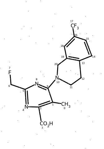 Cc1c(C(=O)O)nc(CF)nc1N1CCc2ccc(C(F)(F)F)cc2C1